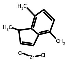 C[C]1C=Cc2c(C)ccc(C)c21.[Cl][Zr][Cl]